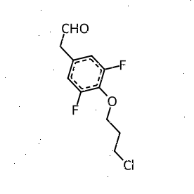 O=CCc1cc(F)c(OCCCCl)c(F)c1